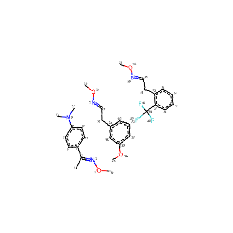 CON=C(C)c1ccc(N(C)C)cc1.CON=CCc1cccc(OC)c1.CON=CCc1ccccc1C(F)(F)F